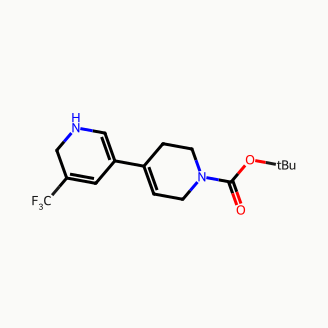 CC(C)(C)OC(=O)N1CC=C(C2=CNCC(C(F)(F)F)=C2)CC1